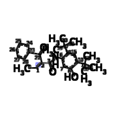 C/C=C(/C(=O)Nc1cc(O)c(C(C)(C)C)cc1C(C)(C)C)C(=O)c1ccccc1